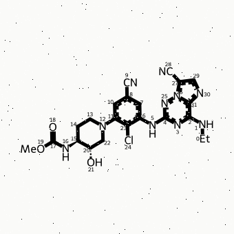 CCNc1nc(Nc2cc(C#N)cc(N3CC[C@H](NC(=O)OC)[C@@H](O)C3)c2Cl)nn2c(C#N)cnc12